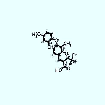 Cc1ccc(Oc2ccc3c(c2C)OC(C(F)(F)F)C(C(=O)O)=C3)c(C)c1